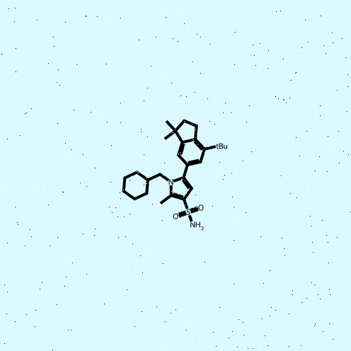 Cc1c(S(N)(=O)=O)cc(-c2cc(C(C)(C)C)c3c(c2)C(C)(C)CC3)n1CC1CCCCC1